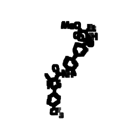 CC[C@H](NS(=O)(=O)c1ccc(-c2ccc(NC(=O)c3sc(-c4ccc(C(F)(F)F)cc4)nc3C)c(C)c2)cc1)C(=O)OC